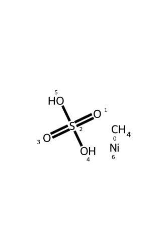 C.O=S(=O)(O)O.[Ni]